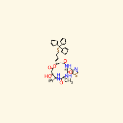 CC(C)[C@H]1NC(=O)[C@@H](C)NC(=O)[C@@H](Cc2cscn2)NC(=O)C[C@@H](C=CCCSC(c2ccccc2)(c2ccccc2)c2ccccc2)OC(=O)C[C@@H]1O